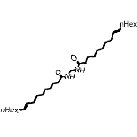 CCCCCCC=CCCCCCCCC(=O)NCNC(=O)CCCCCCCC=CCCCCCC